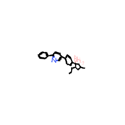 BC1(c2ccc(-c3ccc(-c4ccccc4)nc3)cc2)CC(C)CC1CCC